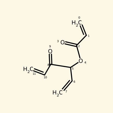 C=CC(=O)OC(C=C)C(=O)C=C